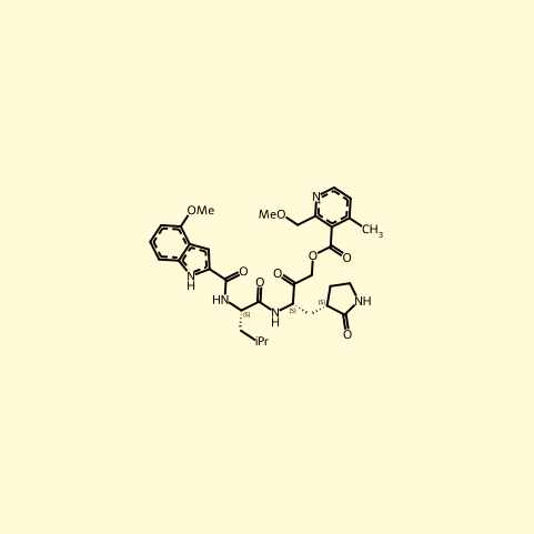 COCc1nccc(C)c1C(=O)OCC(=O)[C@H](C[C@@H]1CCNC1=O)NC(=O)[C@H](CC(C)C)NC(=O)c1cc2c(OC)cccc2[nH]1